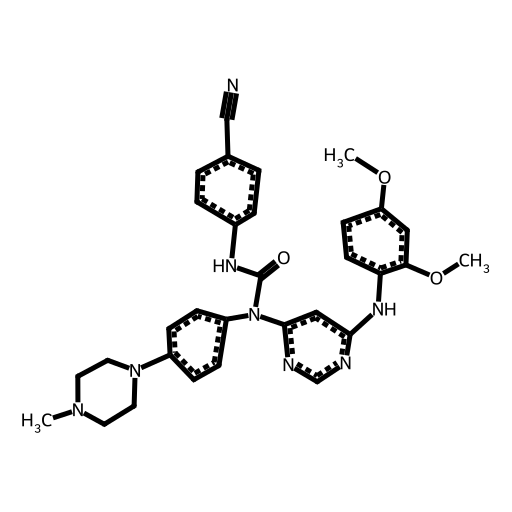 COc1ccc(Nc2cc(N(C(=O)Nc3ccc(C#N)cc3)c3ccc(N4CCN(C)CC4)cc3)ncn2)c(OC)c1